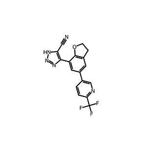 N#Cc1[nH]nnc1-c1cc(-c2ccc(C(F)(F)F)nc2)cc2c1OCC2